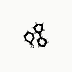 O=C1CC=CCC1.c1ccc(-c2ccccc2)cc1